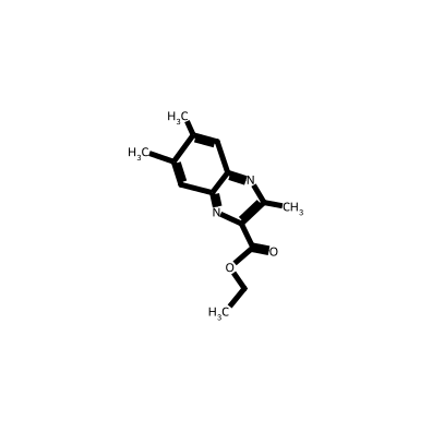 CCOC(=O)c1nc2cc(C)c(C)cc2nc1C